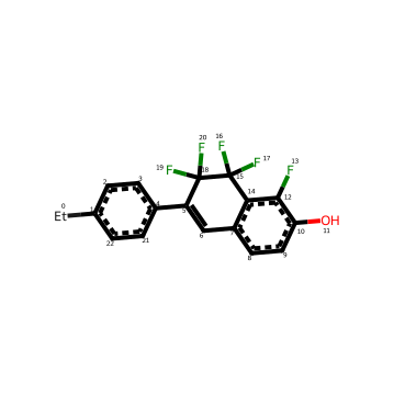 CCc1ccc(C2=Cc3ccc(O)c(F)c3C(F)(F)C2(F)F)cc1